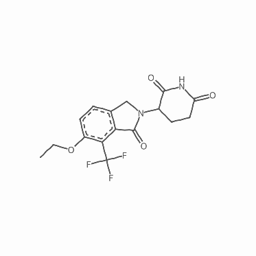 CCOc1ccc2c(c1C(F)(F)F)C(=O)N(C1CCC(=O)NC1=O)C2